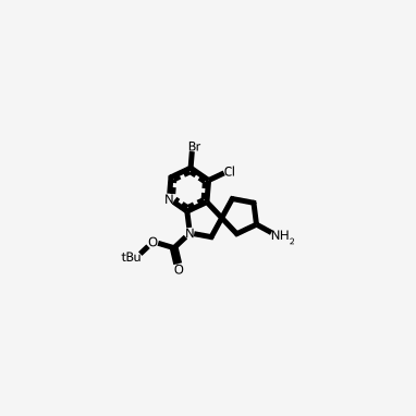 CC(C)(C)OC(=O)N1CC2(CCC(N)C2)c2c1ncc(Br)c2Cl